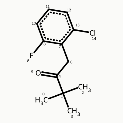 CC(C)(C)C(=O)Cc1c(F)cccc1Cl